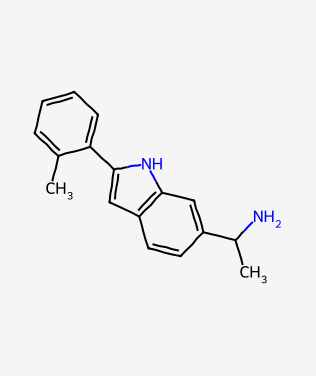 Cc1ccccc1-c1cc2ccc(C(C)N)cc2[nH]1